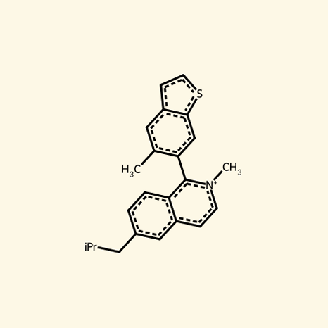 Cc1cc2ccsc2cc1-c1c2ccc(CC(C)C)cc2cc[n+]1C